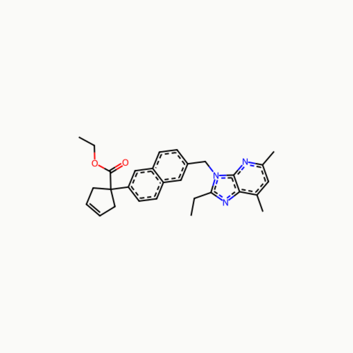 CCOC(=O)C1(c2ccc3cc(Cn4c(CC)nc5c(C)cc(C)nc54)ccc3c2)CC=CC1